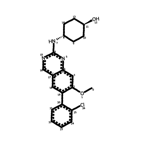 COc1cc2nc(N[C@H]3CC[C@H](O)CC3)ncc2cc1-c1ccccc1Cl